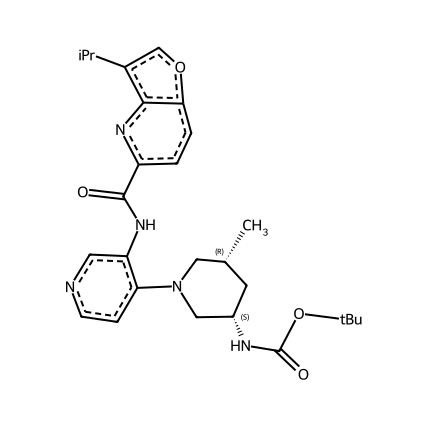 CC(C)c1coc2ccc(C(=O)Nc3cnccc3N3C[C@H](C)C[C@H](NC(=O)OC(C)(C)C)C3)nc12